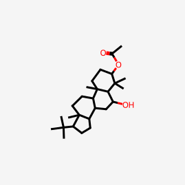 CC(=O)OC1CCC2(C)C3CCC4(C)C(CCC4C(C)(C)C)C3CC(O)C2C1(C)C